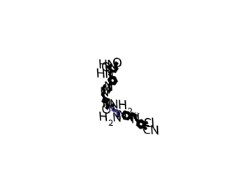 C[C@H]1CC2(CCN(/C(N)=C/C=C(\N)C(=O)N3CC(CN4CCN(c5cccc(NC6CCC(=O)NC6=O)c5)CC4)C3)CC2)CN1c1ccc(C#N)c(Cl)c1